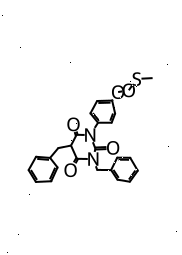 CSOOc1ccc(N2C(=O)C(Cc3ccccc3)C(=O)N(Cc3ccccc3)C2=O)cc1